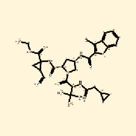 C=CC1CC1(NC(=O)[C@@H]1C[C@@H](NC(=O)c2sc3ccccc3c2Cl)CN1C(=O)[C@@H](NC(=O)CC1CC1)C(C)(C)C)C(=O)OCC